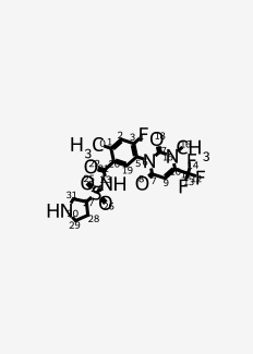 Cc1cc(F)c(-n2c(=O)cc(C(F)(F)F)n(C)c2=O)cc1C(=O)NS(=O)(=O)C1CCNC1